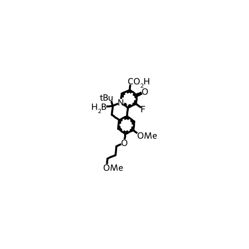 BC1(C(C)(C)C)Cc2cc(OCCCOC)c(OC)cc2-c2c(F)c(=O)c(C(=O)O)cn21